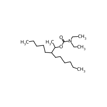 CCCCCCC(CCCCC)C(C)OC(=O)N(CC)CC